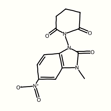 Cn1c(=O)n(N2C(=O)CCCC2=O)c2ccc([N+](=O)[O-])cc21